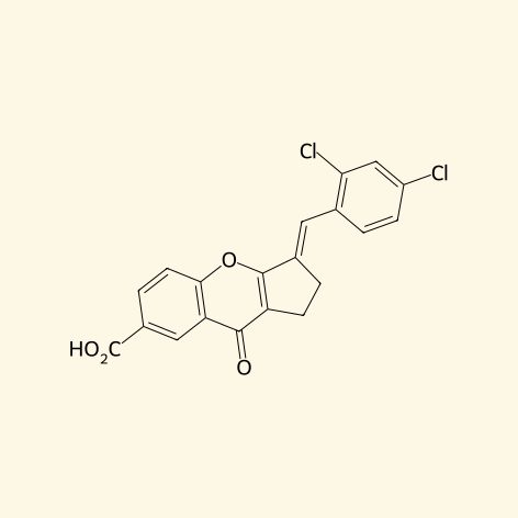 O=C(O)c1ccc2oc3c(c(=O)c2c1)CCC3=Cc1ccc(Cl)cc1Cl